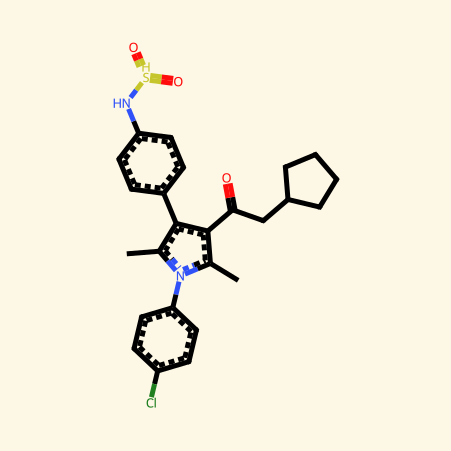 Cc1c(C(=O)CC2CCCC2)c(-c2ccc(N[SH](=O)=O)cc2)c(C)n1-c1ccc(Cl)cc1